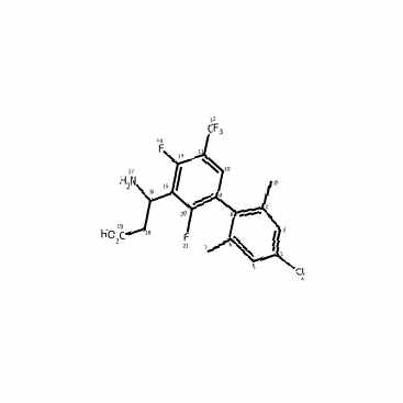 Cc1cc(Cl)cc(C)c1-c1cc(C(F)(F)F)c(F)c(C(N)CC(=O)O)c1F